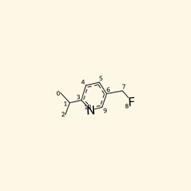 CC(C)c1ccc(CF)cn1